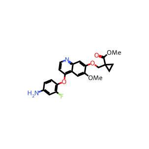 COC(=O)C1(COc2cc3nccc(Oc4ccc(N)cc4F)c3cc2OC)CC1